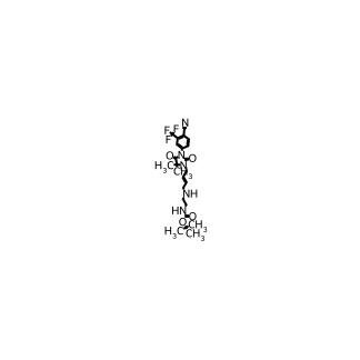 CC(C)(C)OC(=O)NCCNCC=CCN1C(=O)N(c2ccc(C#N)c(C(F)(F)F)c2)C(=O)C1(C)C